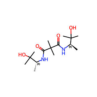 C[C@@H](NC(=O)C(C)(C)C(=O)N[C@H](C)C(C)(C)O)C(C)(C)O